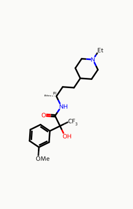 CCN1CCC(CC[C@@H](C)NC(=O)C(O)(c2cccc(OC)c2)C(F)(F)F)CC1